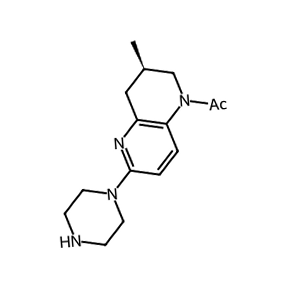 CC(=O)N1C[C@H](C)Cc2nc(N3CCNCC3)ccc21